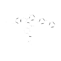 COc1ccc(Cn2nc(NC3CCCN(C(=O)OC(C)(C)C)C3)c3c(Oc4ccc(Oc5ccccc5)cc4)ccnc32)cc1